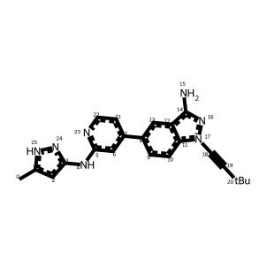 Cc1cc(Nc2cc(-c3ccc4c(c3)c(N)nn4C#CC(C)(C)C)ccn2)n[nH]1